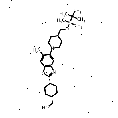 CC(C)(C)[Si](C)(C)OCC1CCN(c2cc3nc([C@H]4CC[C@H](CO)CC4)oc3cc2N)CC1